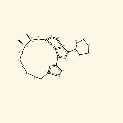 C[C@@H]1OCCOCCn2cc(cn2)-c2nn(C3CCCCO3)c3ccc(cc23)O[C@@H]1C